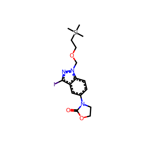 C[Si](C)(C)CCOCn1nc(I)c2cc(N3CCOC3=O)ccc21